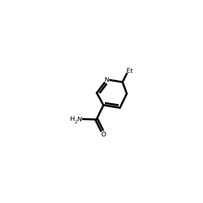 CCC1CC=C(C(N)=O)C=N1